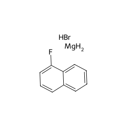 Br.Fc1cccc2ccccc12.[MgH2]